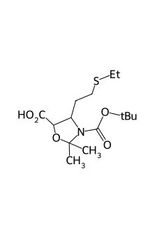 CCSCCC1C(C(=O)O)OC(C)(C)N1C(=O)OC(C)(C)C